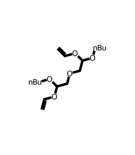 C=COC(COCC(OC=C)OCCCC)OCCCC